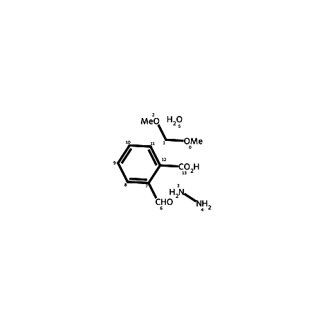 COCOC.NN.O.O=Cc1ccccc1C(=O)O